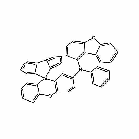 c1ccc(N(c2ccc3c(c2)[Si]2(c4ccccc4O3)c3ccccc3-c3ccccc32)c2cccc3oc4ccccc4c23)cc1